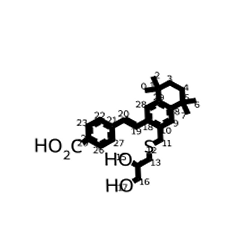 CC1(C)CCC(C)(C)c2cc(CSCC(O)CO)c(/C=C/c3ccc(C(=O)O)cc3)cc21